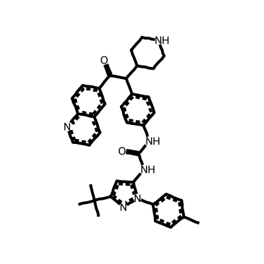 Cc1ccc(-n2nc(C(C)(C)C)cc2NC(=O)Nc2ccc(C(C(=O)c3ccc4ncccc4c3)C3CCNCC3)cc2)cc1